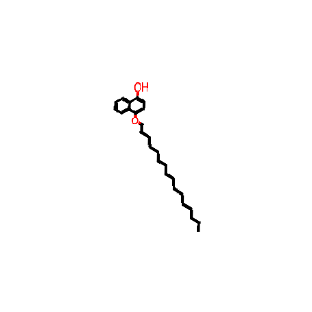 CCCCCCCCCCCCCCCCOc1ccc(O)c2ccccc12